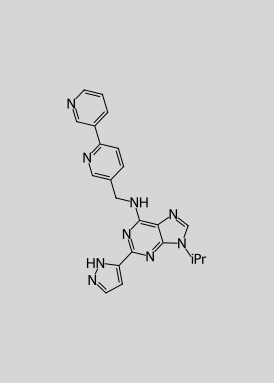 CC(C)n1cnc2c(NCc3ccc(-c4cccnc4)nc3)nc(-c3ccn[nH]3)nc21